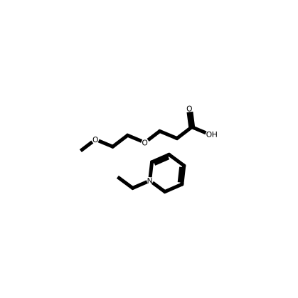 CCN1C=CC=CC1.COCCOCCC(=O)O